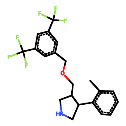 Cc1ccccc1C1CNCC1COCc1cc(C(F)(F)F)cc(C(F)(F)F)c1